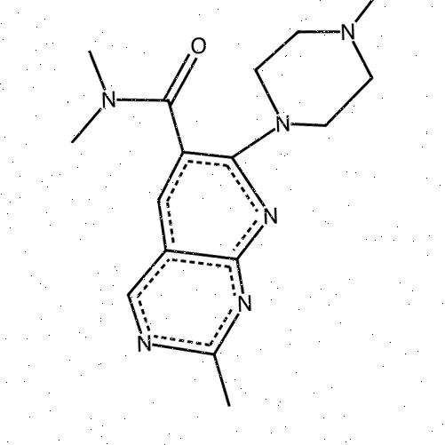 Cc1ncc2cc(C(=O)N(C)C)c(N3CCN(C)CC3)nc2n1